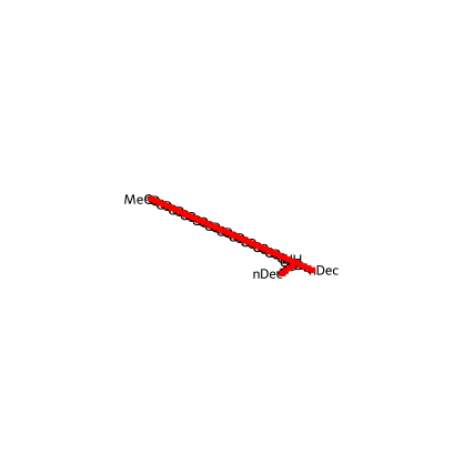 CCCCCCCCCCCCCCCCOCC(CCNC(=O)COCCOCCOCCOCCOCCOCCOCCOCCOCCOCCOCCOCCOCCOCCOCCOCCOCCOCCOCCOCCOCCOCCOC)OCCCCCCCCCCCCCCCC